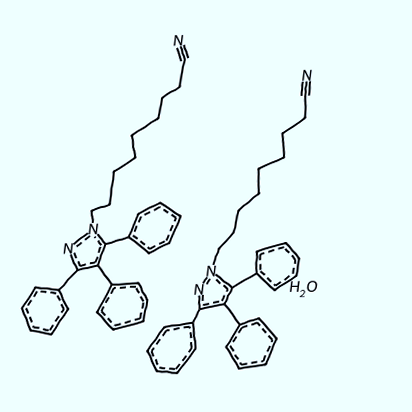 N#CCCCCCCCCn1nc(-c2ccccc2)c(-c2ccccc2)c1-c1ccccc1.N#CCCCCCCCCn1nc(-c2ccccc2)c(-c2ccccc2)c1-c1ccccc1.O